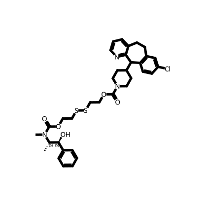 C[C@@H]([C@@H](O)c1ccccc1)N(C)C(=O)OCCSSCCOC(=O)N1CCC(C2c3ccc(Cl)cc3CCc3cccnc32)CC1